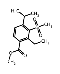 CCc1c(C(=O)OC)ccc(C(C)C)c1S(C)(=O)=O